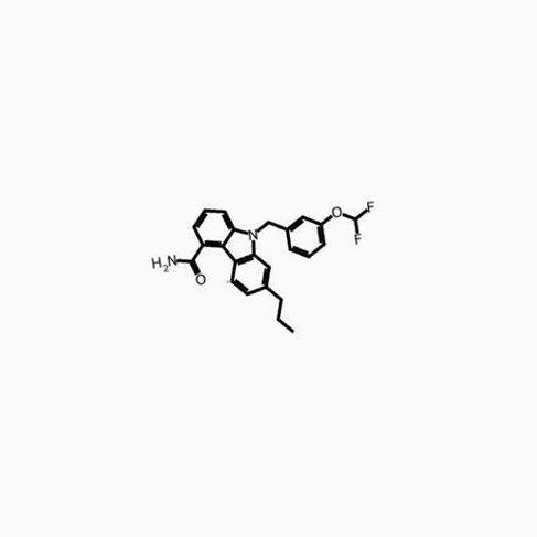 CCCc1c[c]c2c3c(C(N)=O)cccc3n(Cc3cccc(OC(F)F)c3)c2c1